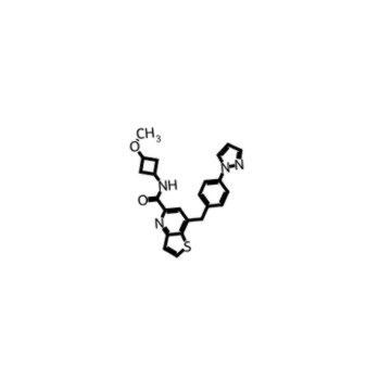 COC1CC(NC(=O)c2cc(Cc3ccc(-n4cccn4)cc3)c3sccc3n2)C1